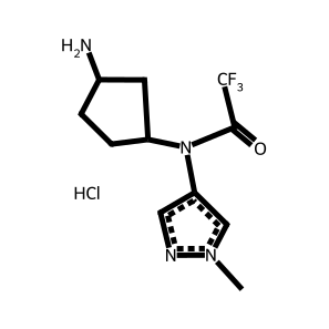 Cl.Cn1cc(N(C(=O)C(F)(F)F)C2CCC(N)C2)cn1